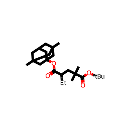 CCC(CC(C)(C)C(=O)OC(C)(C)C)C(=O)OC12CC3CC(C)(CC(C)(C3)C1)C2